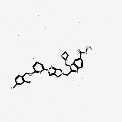 COC(=O)c1ccc2nc(CN3Cc4cn(-c5cccc(OCc6ccc(Cl)cc6F)n5)nc4C3)n(C[C@@H]3CCO3)c2c1